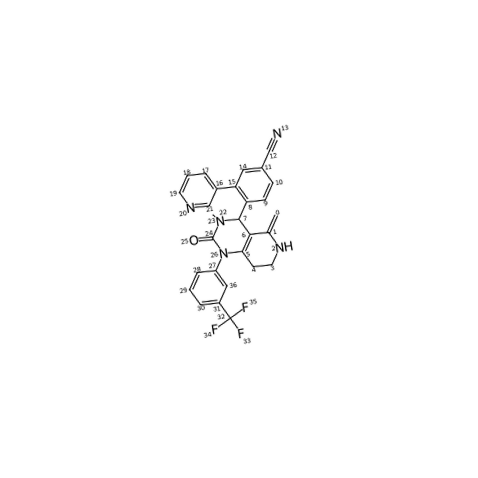 C=C1NCCC2=C1C(c1ccc(C#N)cc1-c1cccnc1)N(C)C(=O)N2c1cccc(C(F)(F)F)c1